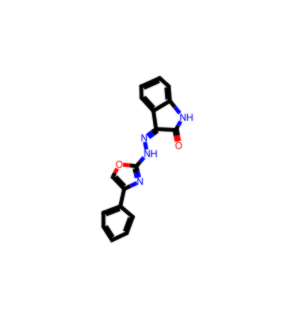 O=C1Nc2ccccc2/C1=N/Nc1nc(-c2ccccc2)co1